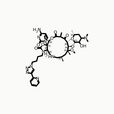 CC[C@H]1OC(=O)C(C)C(=O)[C@H](C)[C@@H](O[C@@H]2O[C@H](C)CC(N(C)C)C2O)[C@](C)(OC)C[C@@H](C)CN[C@H](C)[C@H]2N(CCCCn3cc(-c4ccccn4)nn3)C(=O)O[C@]12n1ccc(N)nc1=O